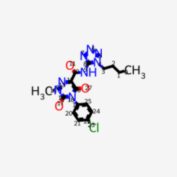 CCCCn1nnnc1NC(=O)c1nn(C)c(=O)n(-c2ccc(Cl)cc2)c1=O